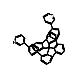 c1cncc(-c2ccc(-c3cccc4c3C3(c5ccccc5-c5ccccc53)c3c(-c5ccc(-c6cccnc6)cc5)cccc3-4)cc2)c1